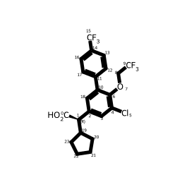 O=C(O)[C@@H](c1cc(Cl)c(OCC(F)(F)F)c(-c2ccc(C(F)(F)F)cc2)c1)C1CCCC1